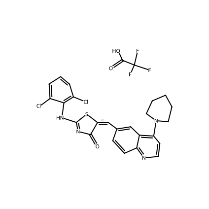 O=C(O)C(F)(F)F.O=C1N=C(Nc2c(Cl)cccc2Cl)S/C1=C/c1ccc2nccc(N3CCCCC3)c2c1